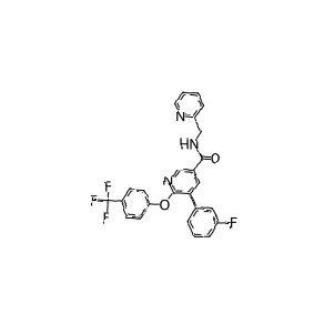 O=C(NCc1ccccn1)c1cnc(Oc2ccc(C(F)(F)F)cc2)c(-c2cccc(F)c2)c1